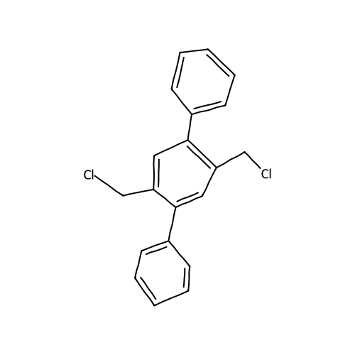 ClCc1cc(-c2ccccc2)c(CCl)cc1-c1ccccc1